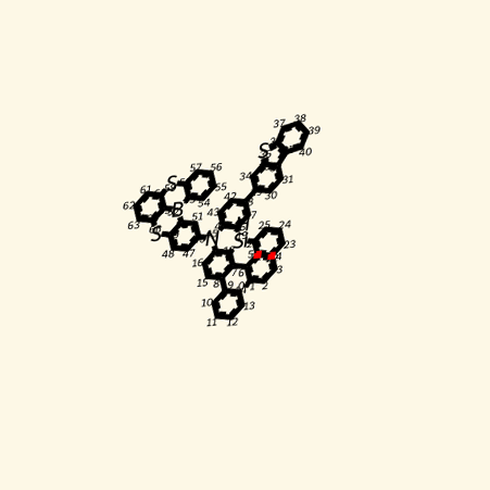 Cc1ccccc1-c1c(-c2ccccc2)ccc2c1[SiH](c1ccccc1)c1cc(-c3ccc4c(c3)sc3ccccc34)ccc1N2c1ccc2c(c1)B1c3ccccc3Sc3cccc(c31)S2